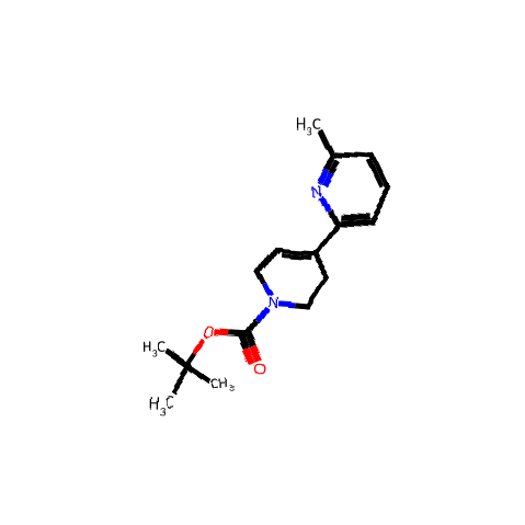 Cc1cccc(C2=CCN(C(=O)OC(C)(C)C)CC2)n1